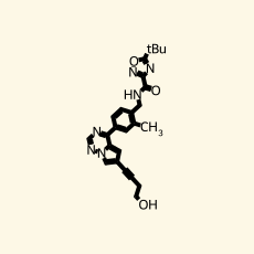 Cc1cc(-c2ncnn3cc(C#CCCO)cc23)ccc1CNC(=O)c1noc(C(C)(C)C)n1